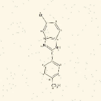 CCc1ccc2[nH]c(-c3ccc(C(=O)O)cc3)nc2c1